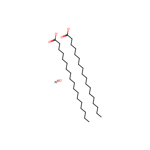 CCCCCCCCCCCCCCCCCC(=O)[O-].CCCCCCCCCCCCCCCCCC(=O)[O-].[Al+3].[OH-]